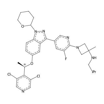 CC(C)CNC1(C)CN(c2ncc(-c3nn(C4CCCCO4)c4ccc(O[C@H](C)c5c(Cl)cncc5Cl)cc34)cc2F)C1